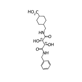 O=C(O)C1CCC(CNC(=O)[C@H](O)[C@@H](O)C(=O)NCc2ccccc2)CC1